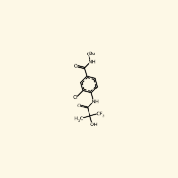 CCCCNC(=O)c1ccc(NC(=O)C(C)(O)C(F)(F)F)c(Cl)c1